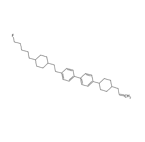 C=CCC1CCC(c2ccc(-c3ccc(CCC4CCC(CCCCCF)CC4)cc3)cc2)CC1